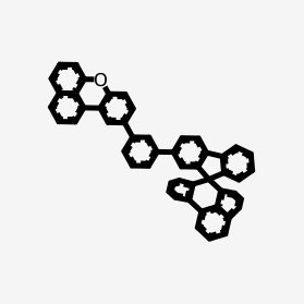 c1cc(-c2ccc3c(c2)-c2cccc4cccc(c24)O3)cc(-c2ccc3c(c2)C2(c4ccccc4-3)c3ccccc3-c3cccc4cccc2c34)c1